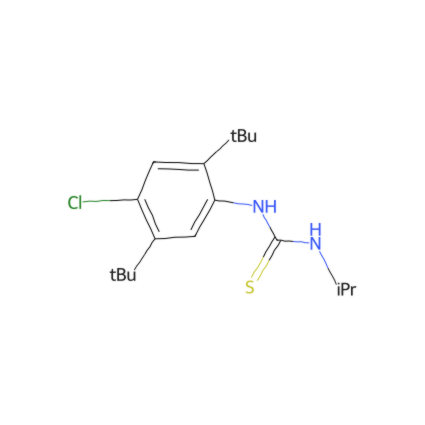 CC(C)NC(=S)Nc1cc(C(C)(C)C)c(Cl)cc1C(C)(C)C